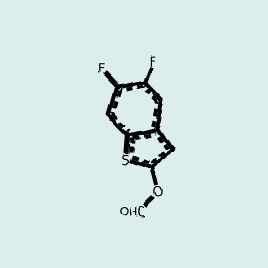 O=COc1cc2cc(F)c(F)cc2s1